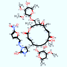 CO[C@@H]1[C@H](O)[C@@H](C)O[C@@H](OC[C@H]2[C@@H]3O[C@@H]3/C=C/C(=O)[C@@](C)(O)CC[C@H](O[C@@H]3O[C@H](C)C[C@H](OC)[C@H]3O)[C@@H](C)/C=C/C(=O)O[C@@H]2C)[C@@H]1OC.O=[N+]([O-])c1ccc(/C=N/N2CCN=C2O)o1